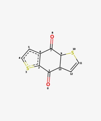 O=C1c2sccc2C(=O)C2SC=CC12